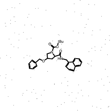 CC(C)(C)OC(=O)N1CC(OCc2ccccc2)CC1C(=O)NCc1cccc2ccccc12